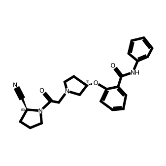 N#C[C@@H]1CCCN1C(=O)CN1CC[C@H](Oc2ccccc2C(=O)Nc2ccccc2)C1